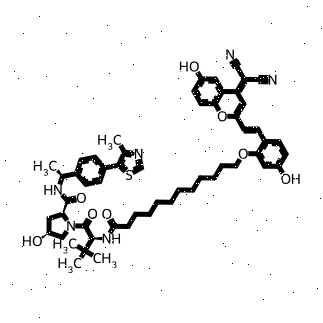 Cc1ncsc1-c1ccc([C@H](C)NC(=O)[C@@H]2C[C@@H](O)CN2C(=O)[C@@H](NC(=O)CCCCCCCCCCCOc2cc(O)ccc2/C=C/C2=CC(=C(C#N)C#N)c3cc(O)ccc3O2)C(C)(C)C)cc1